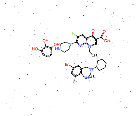 CCn1cc(C(=O)O)c(=O)c2cc(F)c(N3CCNCC3)nc21.CN(Cc1cc(Br)cc(Br)c1N)C1CCCCC1.Oc1cccc(O)c1O